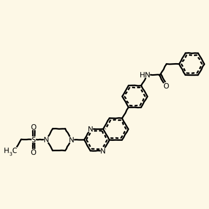 CCS(=O)(=O)N1CCN(c2cnc3ccc(-c4ccc(NC(=O)Cc5ccccc5)cc4)cc3n2)CC1